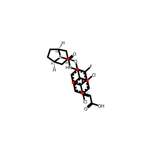 O=C(O)/C=C/c1ccc(O[C@H]2C[C@H]3CC[C@@H](C2)N3C(=O)NCc2ccc(Cl)cc2Cl)c(F)c1